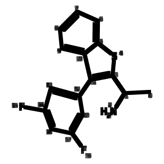 CC(N)c1sc2ccccc2c1-c1cc(F)cc(F)c1